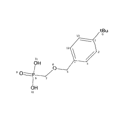 CC(C)(C)c1ccc(COCP(=O)(O)O)cc1